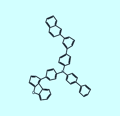 c1ccc(-c2ccc(N(c3ccc(-c4cccc(-c5ccc6ccccc6c5)c4)cc3)c3ccc(-c4cccc5oc6ccccc6c45)cc3)cc2)cc1